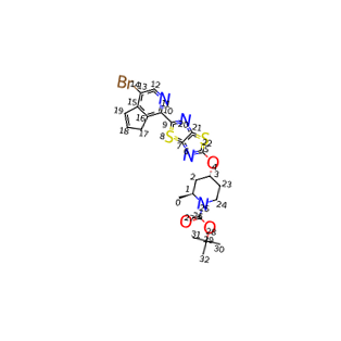 C[C@H]1C[C@H](Oc2nc3sc(-c4ncc(Br)c5c4CC=C5)nc3s2)CCN1C(=O)OC(C)(C)C